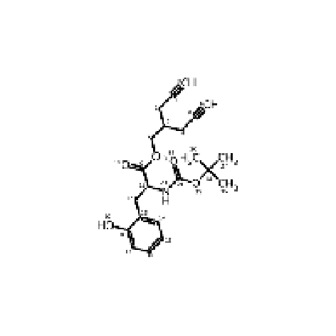 C#CCC(CC#C)COC(=O)[C@H](Cc1ccccc1O)NC(=O)OC(C)(C)C